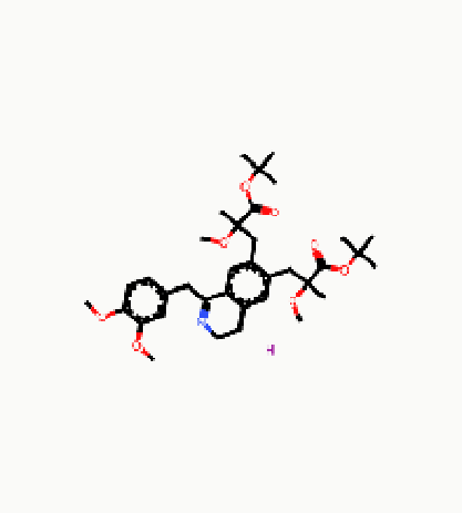 COc1ccc(CC2=NCCc3cc(CC(C)(OC)C(=O)OC(C)(C)C)c(CC(C)(OC)C(=O)OC(C)(C)C)cc32)cc1OC.I